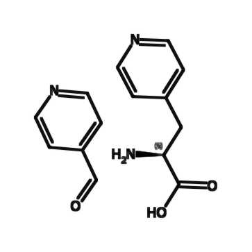 N[C@@H](Cc1ccncc1)C(=O)O.O=Cc1ccncc1